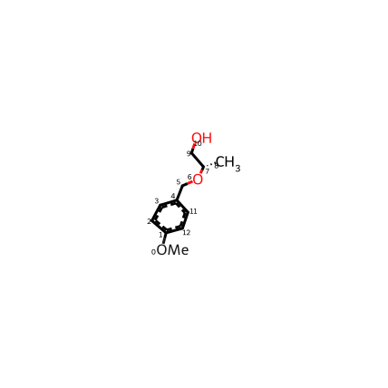 COc1ccc(CO[C@@H](C)CO)cc1